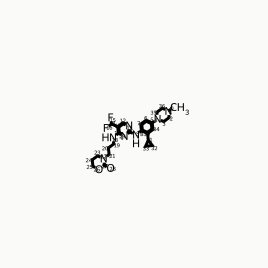 CN1CCN(c2ccc(Nc3ncc(C(F)F)c(NCCCN4CCCOC4=O)n3)c(C3CC3)c2)CC1